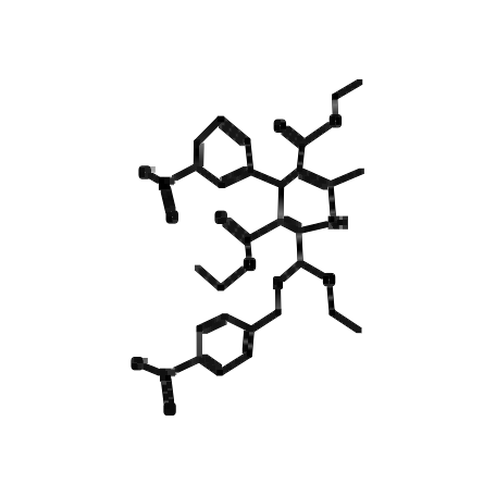 CCOC(=O)C1=C(C)NC(C(OCC)SCc2ccc([N+](=O)[O-])cc2)=C(C(=O)OCC)C1c1cccc([N+](=O)[O-])c1